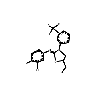 CCC1CN(c2cccc(C(F)(F)F)c2)C(=Nc2ccc(C)c(Cl)c2)O1